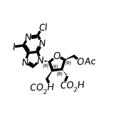 CC(=O)OC[C@@H]1O[C@@H](n2cnc3c(I)nc(Cl)nc32)[C@H](CC(=O)O)[C@H]1CC(=O)O